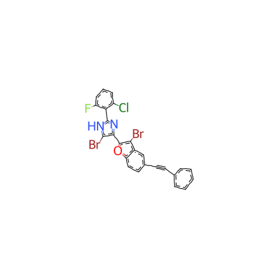 Fc1cccc(Cl)c1-c1nc(-c2oc3ccc(C#Cc4ccccc4)cc3c2Br)c(Br)[nH]1